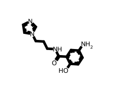 Nc1ccc(O)c(C(=O)NCCCn2ccnc2)c1